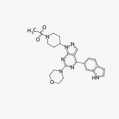 CS(=O)(=O)N1CCC(n2ncc3c(-c4ccc5cc[nH]c5c4)nc(N4CCOCC4)nc32)CC1